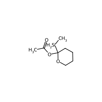 C[SiH2]C1(OC(C)=O)CCCCO1